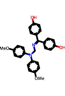 COc1ccc(N(CN=C(c2ccc(O)cc2)c2ccc(O)cc2)c2ccc(OC)cc2)cc1